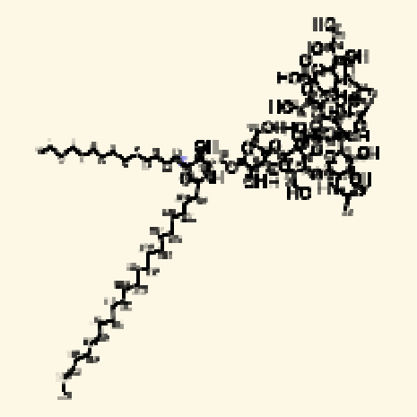 CCCCCCCCCCCCC/C=C/[C@@H](O)[C@H](CO[C@@H]1OC(CO)[C@@H](O[C@@H]2OC(CO)[C@H](O[C@@H]3OC(CO)[C@H](O)[C@H](O)C3NC(C)=O)[C@H](O[C@]3(C(=O)O)CC(O)[C@@H](NC(C)=O)C([C@H](O)[C@@H](CO)O[C@]4(C(=O)O)CC(O)[C@@H](NC(C)=O)C([C@H](O)[C@H](O)CO)O4)O3)C2O)[C@H](O)C1O)NC(=O)CCCCCCCCCCCCCCCCCCCCCCC